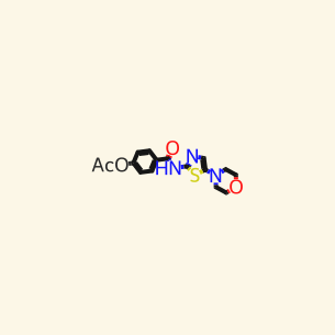 CC(=O)Oc1ccc(C(=O)Nc2ncc(N3CCOCC3)s2)cc1